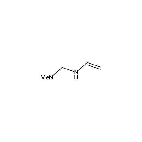 C=CNCNC